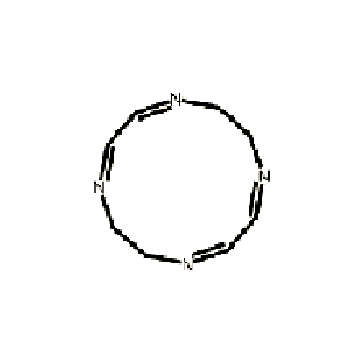 C1=NCCN=CC=NCCN=C1